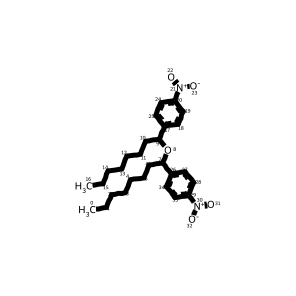 CCCCCCCC(OC(CCCCCCC)c1ccc([N+](=O)[O-])cc1)c1ccc([N+](=O)[O-])cc1